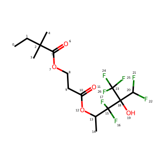 CCC(C)(C)C(=O)OCCC(=O)OC(C)C(F)(F)C(O)(C(F)F)C(F)(F)F